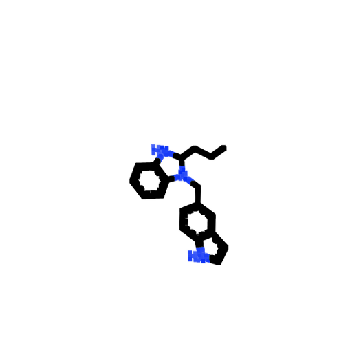 CCCC1Nc2ccccc2N1Cc1ccc2[nH]ccc2c1